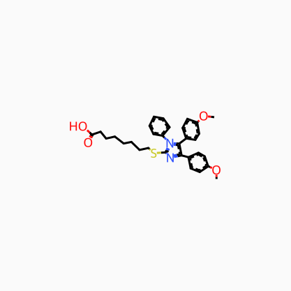 COc1ccc(-c2nc(SCCCCCCCC(=O)O)n(-c3ccccc3)c2-c2ccc(OC)cc2)cc1